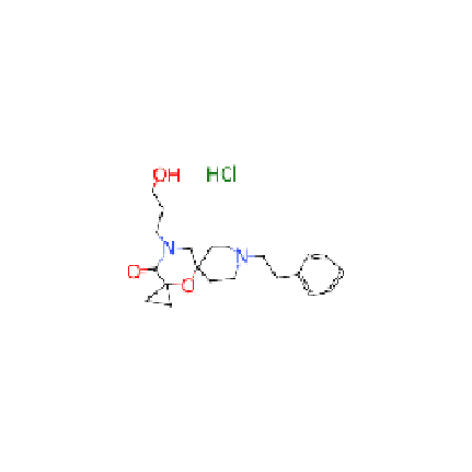 Cl.O=C1N(CCCO)CC2(CCN(CCc3ccccc3)CC2)OC12CC2